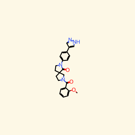 COc1ccccc1C(=O)N1CCC2(CCN(c3ccc(-c4cn[nH]c4)cc3)C2=O)C1